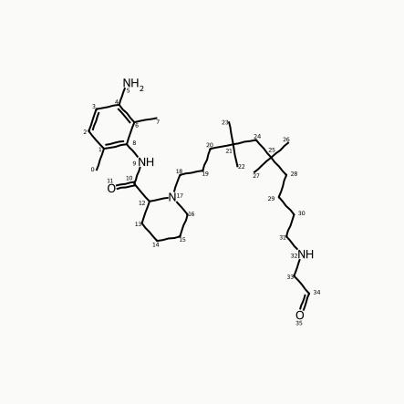 Cc1ccc(N)c(C)c1NC(=O)C1CCCCN1CCCC(C)(C)CC(C)(C)CCCCNCC=O